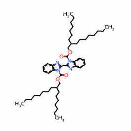 CCCCCCCCC(CCCCCCC)COC(=O)n1c(-c2nc3ccccc3n2C(=O)OCC(CCCCCCC)CCCCCCCC)nc2ccccc21